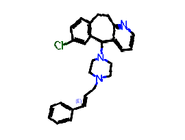 Clc1ccc2c(c1)C(N1CCN(C/C=C/c3ccccc3)CC1)c1cccnc1CC2